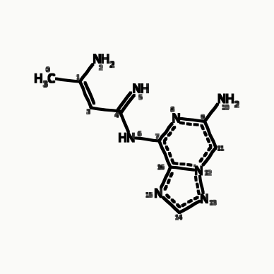 C/C(N)=C/C(=N)Nc1nc(N)cn2ncnc12